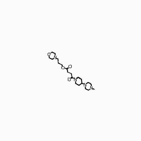 CN1CCN(C2CCN(C(=O)CCC(=O)OCCCN3CCOCC3)CC2)CC1